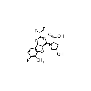 Cc1c(F)ccc2c1oc1c(N3C[C@@H](O)C[C@H]3C(=O)O)nc(C(F)F)nc12